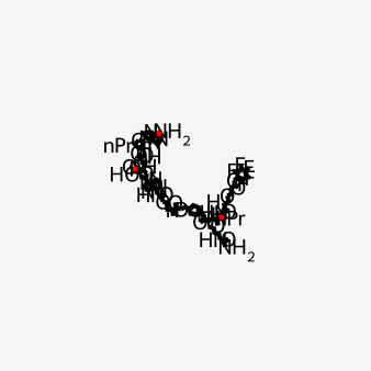 CCC[C@H]1O[C@@H](n2cnc3c(N)ncnc32)[C@H](F)[C@@H]1O[PH](=O)OCC1O[C@@H](n2cnc3c(NC(=O)OCCN(C)C(=O)OCc4ccc(NC(=O)[C@H](CCCCNC(N)=O)NC(=O)[C@@H](NC(=O)CCOCCC(=O)Oc5c(F)c(F)c(F)c(F)c5F)C(C)C)cc4)ncnc32)C[C@@H]1[P@@](=O)(O)S